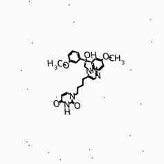 COc1cccc(C(O)(Cn2nncc2CCCCn2ccc(=O)[nH]c2=O)c2cccc(OC)c2)c1